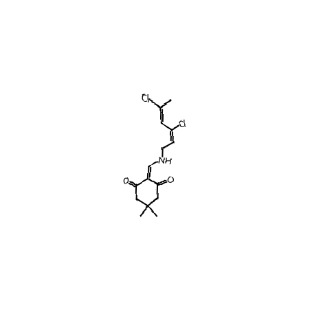 C/C(Cl)=C\C(Cl)=C/CNC=C1C(=O)CC(C)(C)CC1=O